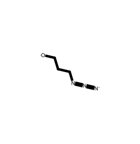 [N-]=[N+]=NCCC[O]